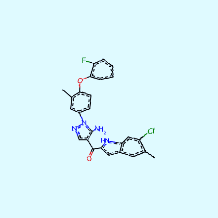 Cc1cc2cc(C(=O)c3cnn(-c4ccc(Oc5ccccc5F)c(C)c4)c3N)[nH]c2cc1Cl